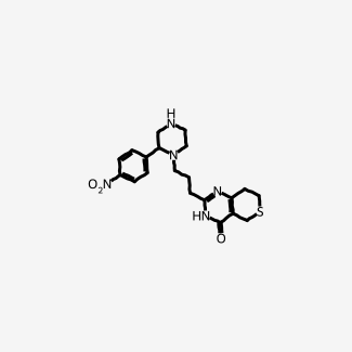 O=c1[nH]c(CCCN2CCNCC2c2ccc([N+](=O)[O-])cc2)nc2c1CSCC2